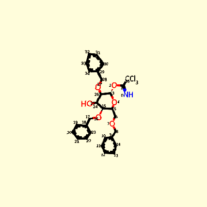 N=C(O[C@@H]1OC(COCc2ccccc2)[C@@H](OCc2ccccc2)C(O)C1OCc1ccccc1)C(Cl)(Cl)Cl